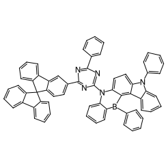 c1ccc(B2c3ccccc3N(c3nc(-c4ccccc4)nc(-c4ccc5c(c4)-c4ccccc4C54c5ccccc5-c5ccccc54)n3)c3ccc4c(c32)c2ccccc2n4-c2ccccc2)cc1